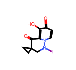 O=C1c2c(O)c(=O)ccn2N(I)CC12CC2